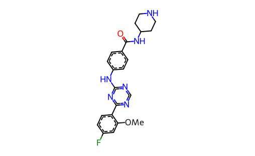 COc1cc(F)ccc1-c1ncnc(Nc2ccc(C(=O)NC3CCNCC3)cc2)n1